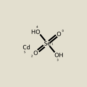 O=[Se](=O)(O)O.[Cd]